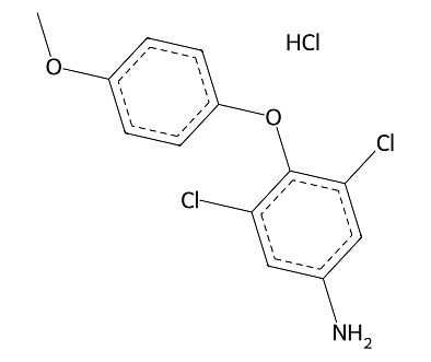 COc1ccc(Oc2c(Cl)cc(N)cc2Cl)cc1.Cl